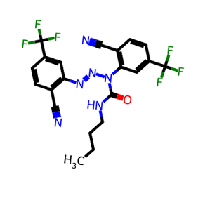 CCCCNC(=O)N(N=Nc1cc(C(F)(F)F)ccc1C#N)c1cc(C(F)(F)F)ccc1C#N